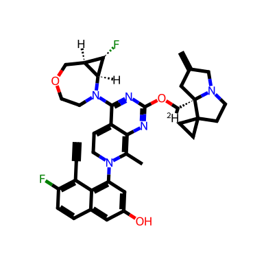 [2H]C(Oc1nc(N2CCOC[C@H]3[C@H](F)[C@H]32)c2c(n1)=C(C)N(c1cc(O)cc3ccc(F)c(C#C)c13)CC=2)[C@]12CC(=C)CN1CCC21CC1